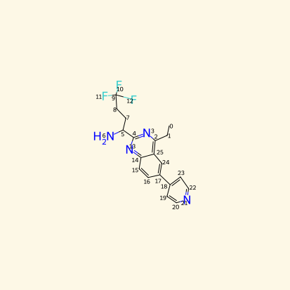 CCc1nc(C(N)CCC(F)(F)F)nc2ccc(-c3ccncc3)cc12